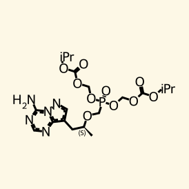 CC(C)OC(=O)OCOP(=O)(CO[C@@H](C)Cc1cnn2c(N)ncnc12)OCOC(=O)OC(C)C